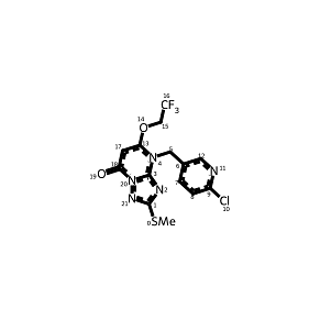 CSc1nc2n(Cc3ccc(Cl)nc3)c(OCC(F)(F)F)cc(=O)n2n1